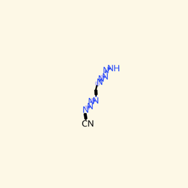 N#CC#C/N=N/N=N/C#C/C=N/N=N/N=N